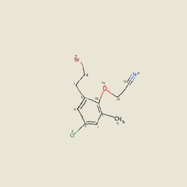 Cc1cc(Cl)cc(CCBr)c1OCC#N